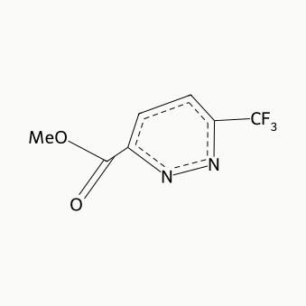 COC(=O)c1ccc(C(F)(F)F)nn1